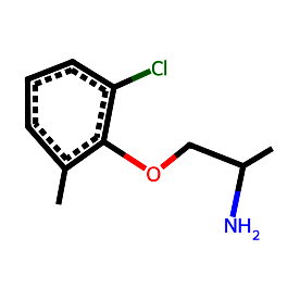 Cc1cccc(Cl)c1OCC(C)N